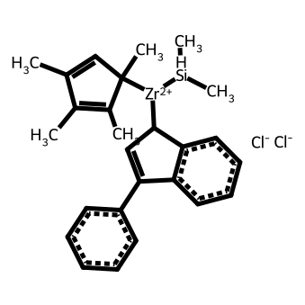 CC1=C[C](C)([Zr+2]([CH]2C=C(c3ccccc3)c3ccccc32)[SiH](C)C)C(C)=C1C.[Cl-].[Cl-]